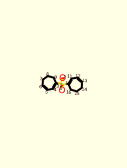 O=S(=O)(C1=CC=CCCC1)C1=CC=CCCC1